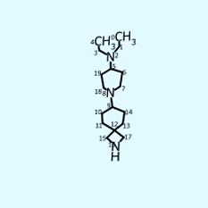 CCN(CC)C1CCN(C2CCC3(CC2)CNC3)CC1